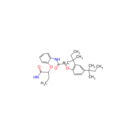 CCC(Oc1ccccc1NC(=O)COc1ccc(C(C)(C)CC)cc1C(C)(C)CC)C([NH])=O